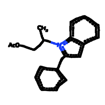 CC(=O)OCC(C)n1c(-c2ccccc2)cc2ccccc21